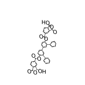 O=C(Oc1ccc(-c2ccc(OC(=O)c3ccc4c(c3)C(O)OC4=O)c(-c3ccccc3)c2)cc1-c1ccccc1)c1ccc2c(c1)C(=O)O[C@@H]2O